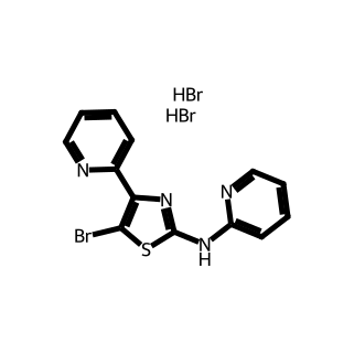 Br.Br.Brc1sc(Nc2ccccn2)nc1-c1ccccn1